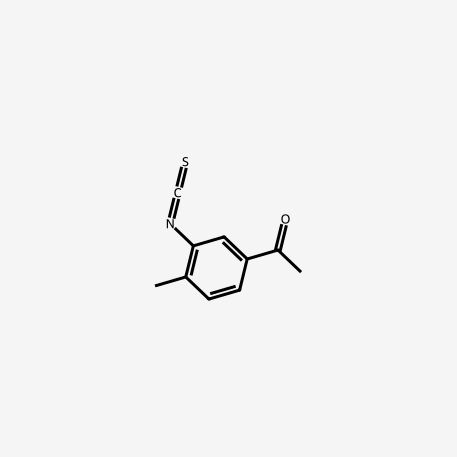 CC(=O)c1ccc(C)c(N=C=S)c1